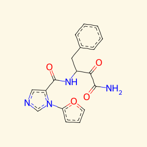 NC(=O)C(=O)C(Cc1ccccc1)NC(=O)c1cncn1-c1ccco1